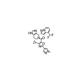 Cn1cc(-c2nc(C3CC3)c(C(=O)N3CCc4[nH]cnc4[C@@H]3c3cc4c(C(F)F)cccn4n3)o2)cn1